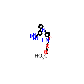 O=C(O)COCCOCCNC(=O)c1ccc(Cn2c3ccccc3c3cc(-c4nn[nH]n4)ccc32)cc1